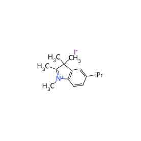 CC1=[N+](C)c2ccc(C(C)C)cc2C1(C)C.[I-]